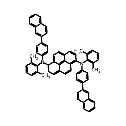 Cc1cccc(C)c1N(c1ccc(-c2ccc3ccccc3c2)cc1)c1ccc2ccc3c4c(ccc1c24)=CCC3N(c1ccc(-c2ccc3ccccc3c2)cc1)c1c(C)cccc1C